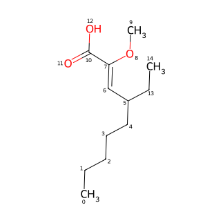 CCCCCC(C=C(OC)C(=O)O)CC